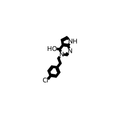 OC1c2cc[nH]c2N=CN1CCc1ccc(Cl)cc1